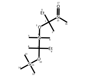 CCC(C)(O[Si](C)(C)C(C)(CC)O[Si](C)(C)C)[Si](C)=O